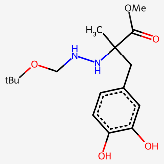 COC(=O)C(C)(Cc1ccc(O)c(O)c1)NNCOC(C)(C)C